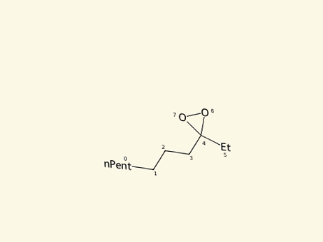 CCCCCCCCC1(CC)OO1